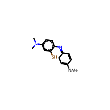 CNC1=CC/C(=N\c2ccc(N(C)C)cc2S)C=C1